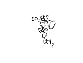 CCOC(=O)[C@H]1CCN(S(=O)(=O)c2ccc(C)cc2)[C@H]1c1ccccc1C